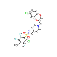 Cc1c(F)c(F)c(S(=O)(=O)NCC2CCN(CC3COc4ccc(Cl)cc4O3)CC2)c(Cl)c1F